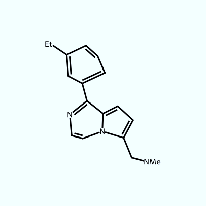 CCc1cccc(-c2nccn3c(CNC)ccc23)c1